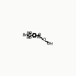 O=C(NCCOCCO)c1ccc(S(=O)(=O)C(Br)(Br)Br)cc1